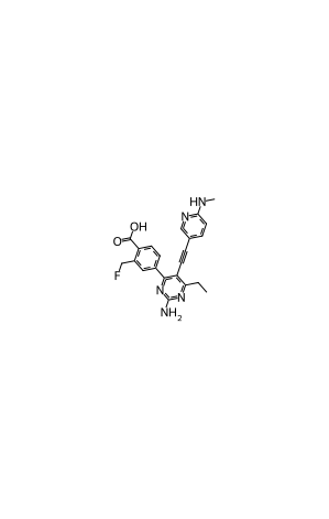 CCc1nc(N)nc(-c2ccc(C(=O)O)c(CF)c2)c1C#Cc1ccc(NC)nc1